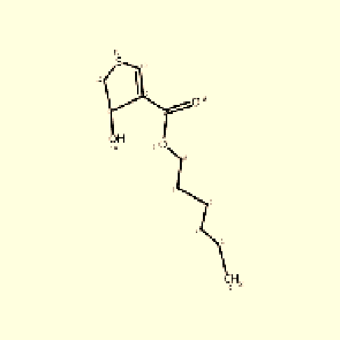 CCCCCCOC(=O)C1=CSCC1O